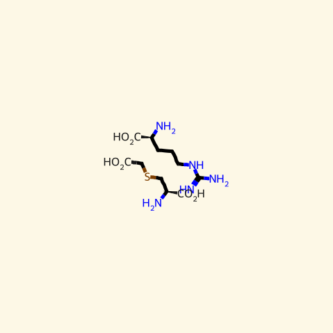 N=C(N)NCCC[C@H](N)C(=O)O.N[C@@H](CSCC(=O)O)C(=O)O